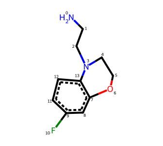 NCCN1CCOc2cc(F)ccc21